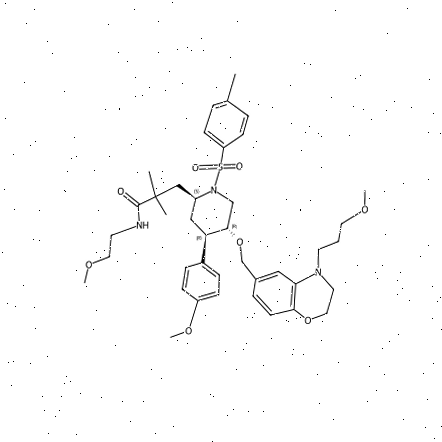 COCCCN1CCOc2ccc(CO[C@H]3CN(S(=O)(=O)c4ccc(C)cc4)[C@H](CC(C)(C)C(=O)NCCOC)C[C@@H]3c3ccc(OC)cc3)cc21